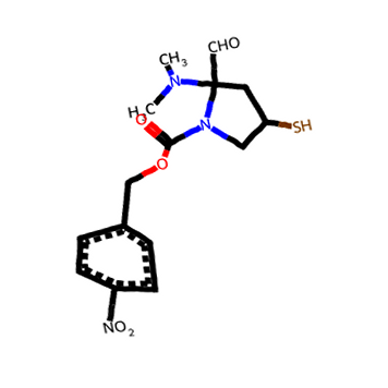 CN(C)C1(C=O)CC(S)CN1C(=O)OCc1ccc([N+](=O)[O-])cc1